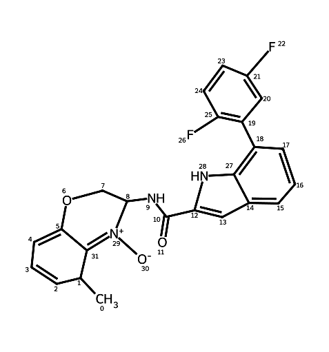 CC1C=CC=C2OCC(NC(=O)c3cc4cccc(-c5cc(F)ccc5F)c4[nH]3)[N+]([O-])=C21